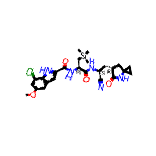 COc1cc(Cl)c2[nH]c(C(=O)N[C@@H](C[Si](C)(C)C)C(=O)N[C@H](C#N)C[C@@H]3CC4(CC4)NC3=O)cc2c1